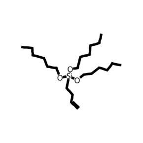 C=CCC[Si](OCCCCCC)(OCCCCCC)OCCCCCC